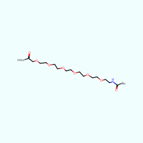 CCCCCCC(=O)COCCOCCOCCOCCOCCOCCNC(=O)C(C)CC